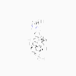 C=C/C=C(\C=C/N)c1ccc(C2C(C)(C)OC(N[C@@H](CCO)c3ccccc3F)=NS2(=O)=O)cc1